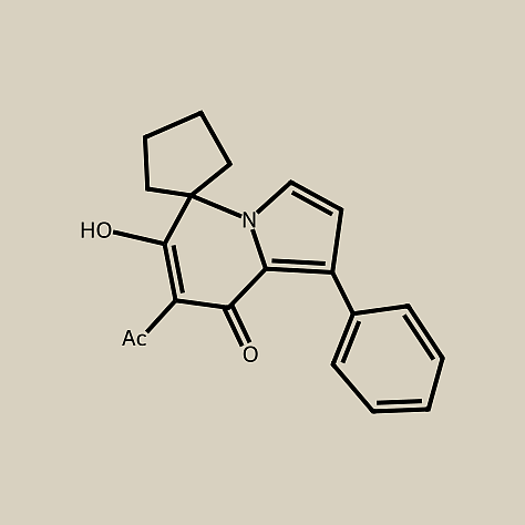 CC(=O)C1=C(O)C2(CCCC2)n2ccc(-c3ccccc3)c2C1=O